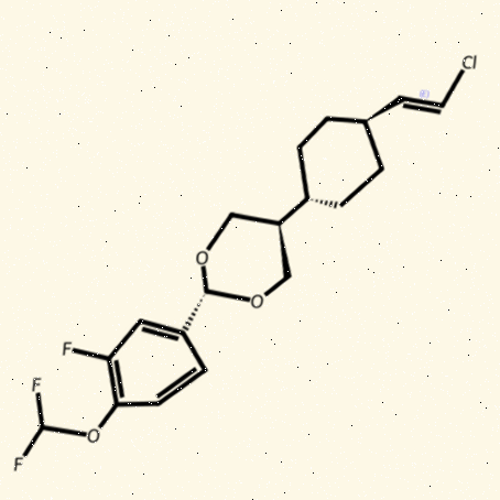 Fc1cc([C@H]2OC[C@H]([C@H]3CC[C@H](/C=C/Cl)CC3)CO2)ccc1OC(F)F